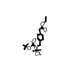 CCOC(=O)Cc1ccc(CN(C(=O)OC(C)(C)C)C(C)(C)OC)cc1